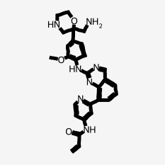 C=CC(=O)Nc1ccnc(-c2cccc3cnc(Nc4ccc(C5(CN)CNCCO5)cc4OC)nc23)c1